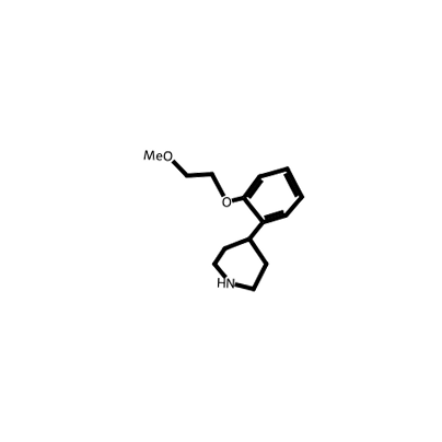 COCCOc1ccccc1C1CCNCC1